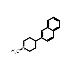 CN1CCC(c2ccc3ccccc3c2)CC1